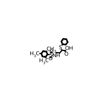 Cc1cc(C)c(S(=O)(=O)NCCC(Sc2ccccc2)C(=O)O)c(C)c1